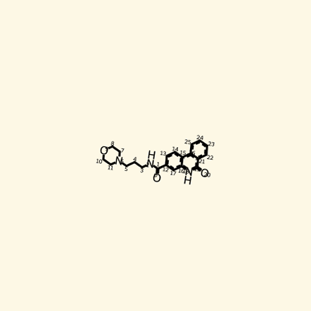 O=C(NCCCN1CCOCC1)c1ccc2c(c1)[nH]c(=O)c1ccccc12